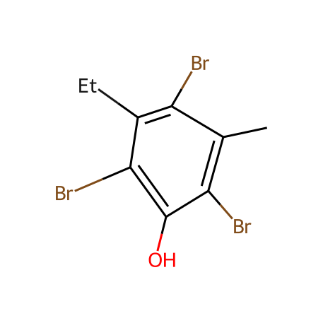 CCc1c(Br)c(C)c(Br)c(O)c1Br